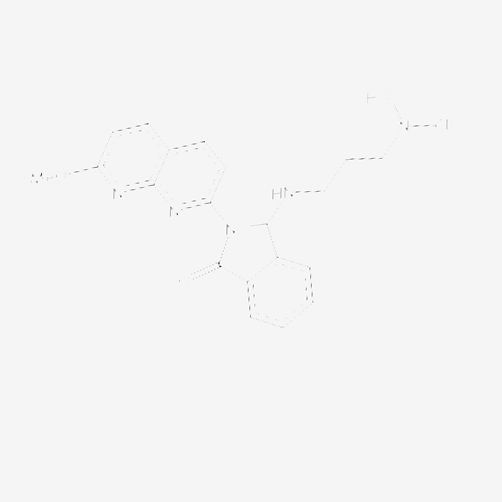 COc1ccc2ccc(N3C(=O)c4ccccc4C3NCCCN(C)C)nc2n1